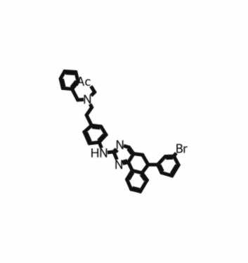 CC(=O)CN(CCc1ccc(Nc2ncc3c(n2)-c2ccccc2C(c2cccc(Br)c2)C3)cc1)Cc1ccccc1